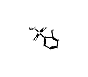 [CH2]c1ccccc1S(=O)(=O)NC